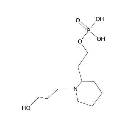 O=P(O)(O)OCCC1CCCCN1CCCO